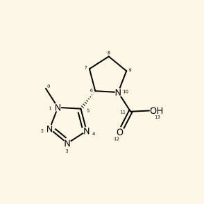 Cn1nnnc1[C@@H]1CCCN1C(=O)O